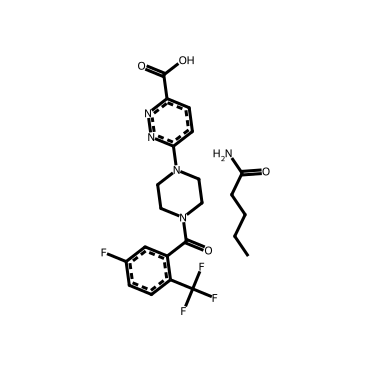 CCCCC(N)=O.O=C(O)c1ccc(N2CCN(C(=O)c3cc(F)ccc3C(F)(F)F)CC2)nn1